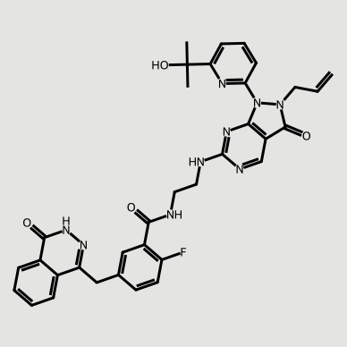 C=CCn1c(=O)c2cnc(NCCNC(=O)c3cc(Cc4n[nH]c(=O)c5ccccc45)ccc3F)nc2n1-c1cccc(C(C)(C)O)n1